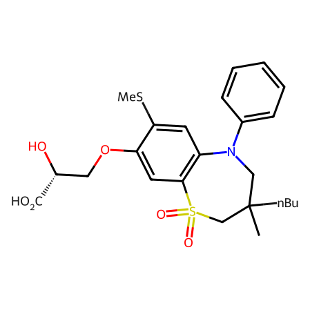 CCCCC1(C)CN(c2ccccc2)c2cc(SC)c(OC[C@@H](O)C(=O)O)cc2S(=O)(=O)C1